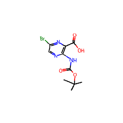 CC(C)(C)OC(=O)Nc1ncc(Br)nc1C(=O)O